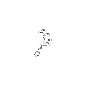 N[C@@H](CSC[C@H](NC(=O)OCc1ccccc1)C(=O)O)C(=O)O